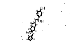 Oc1ccc(C(O)CN2CC3CC(O)(Cc4cccs4)CC3C2)nc1